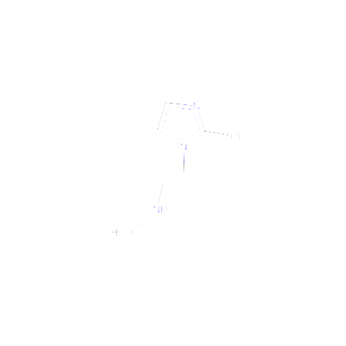 CC(C)c1nccn1CCNC(=O)O